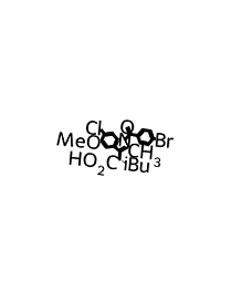 CCC(C)[C@H](C(=O)O)c1c(C)n(C(=O)c2ccc(Br)cc2)c2cc(Cl)c(OC)cc12